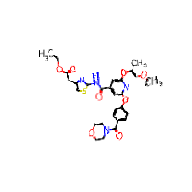 CCOC(=O)Cc1csc(NC(=O)c2cc(Oc3ccc(C(=O)N4CCOCC4)cc3)nc(O[C@H](C)COC)c2)n1